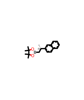 C[C@@H](CB1OC(C)(C)C(C)(C)O1)c1ccc2ccccc2c1